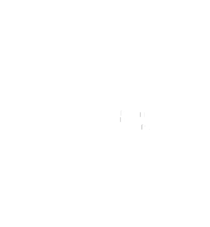 [Pd][PH][PH](C1CCCCC1)(C1CCCCC1)C1CCCCC1